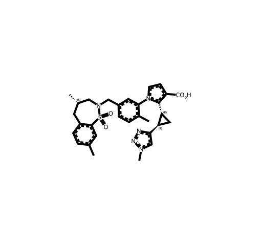 Cc1ccc2c(c1)S(=O)(=O)N(Cc1ccc(C)c(-n3ccc(C(=O)O)c3[C@@H]3C[C@H]3c3cn(C)nn3)c1)C[C@@H](C)C2